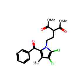 CCCCc1c(Cl)c(Cl)n(CCC(C(=O)OC)C(=O)OC)c1C(=O)c1ccccc1